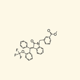 COC(=O)c1cccc(CN2C(=O)/C(=C(\c3ccccc3)c3ccccc3OC(F)(F)F)c3ccccc32)c1